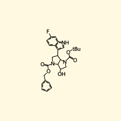 CC(C)(C)OC(=O)N1CC(O)C2C1C(c1c[nH]c3cc(F)ccc13)CN2C(=O)OCc1ccccc1